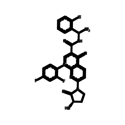 O=C(NC(c1ccccc1Cl)C(F)(F)F)c1cn(-c2ccc(F)cc2F)c2nc(N3CC[C@@H](O)C3=O)ccc2c1=O